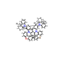 Cc1cc2c3c(c1)N(c1cccc4sc5ccccc5c14)c1cc(N4c5ccccc5C5(C)CCCCC45C)ccc1B3c1ccc(N3c4ccccc4C4(C)CCCCC34C)cc1N2c1cccc2oc3ccccc3c12